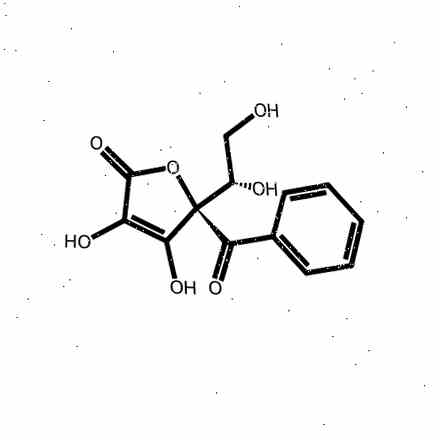 O=C1O[C@](C(=O)c2ccccc2)([C@@H](O)CO)C(O)=C1O